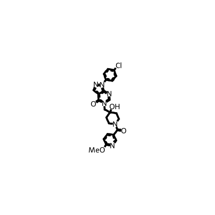 COc1ccc(C(=O)N2CCC(O)(Cn3cnc4c(cnn4-c4ccc(Cl)cc4)c3=O)CC2)cn1